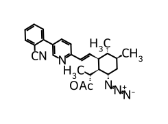 CC(=O)O[C@H](C)[C@H]1[C@@H](/C=C/c2ccc(-c3ccccc3C#N)cn2)[C@H](C)[C@@H](C)C[C@@H]1N=[N+]=[N-]